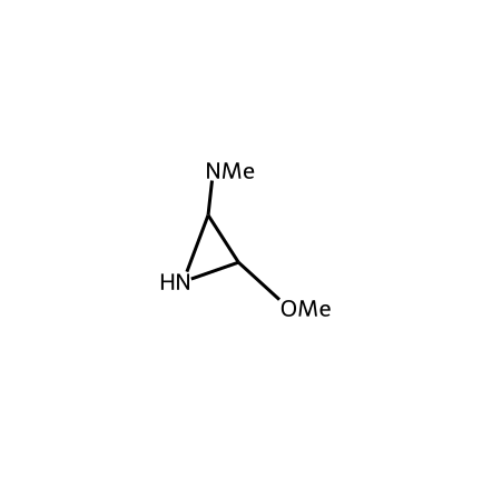 CNC1NC1OC